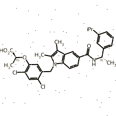 Cc1c(C)n(Cc2cc(O[C@@H](C)C(=O)O)c(Cl)cc2Cl)c2ccc(C(=O)N[C@@H](C)c3cccc(C(C)C)c3)cc12